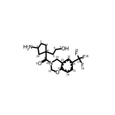 NC1CCC(CCO)(C(=O)N2COc3ccc(C(F)(F)F)cc3C2)C1